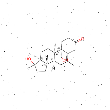 CC1=C2CC(=O)CC[C@]2(CO)[C@@H]2CC[C@@]3(C)[C@@H](CCC3(C)O)[C@@H]2C1